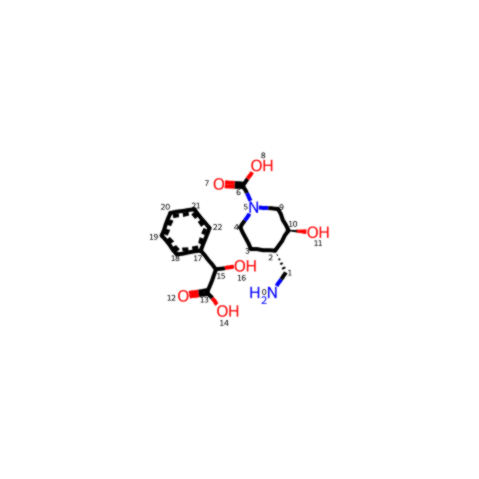 NC[C@@H]1CCN(C(=O)O)C[C@H]1O.O=C(O)C(O)c1ccccc1